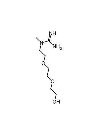 CN(CCOCCOCCO)C(=N)N